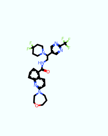 O=C(NCC(c1cnc(C(F)(F)F)nc1)N1CCC(F)(F)CC1)c1cccc2nc(N3CCCOCC3)ccc12